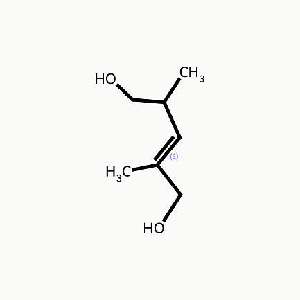 C/C(=C\C(C)CO)CO